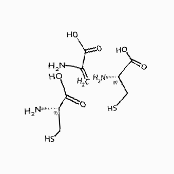 C=C(N)C(=O)O.N[C@@H](CS)C(=O)O.N[C@@H](CS)C(=O)O